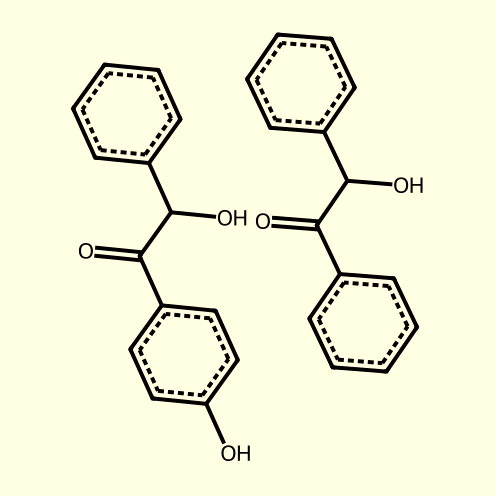 O=C(c1ccc(O)cc1)C(O)c1ccccc1.O=C(c1ccccc1)C(O)c1ccccc1